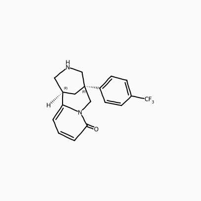 O=c1cccc2n1C[C@]1(c3ccc(C(F)(F)F)cc3)CNC[C@H]2C1